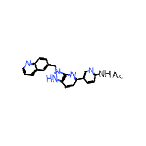 CC(=O)Nc1ccc(-c2ccc3[nH]n(Cc4ccc5ncccc5c4)c3n2)cn1